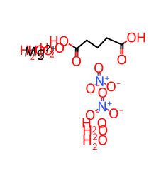 O.O.O.O.O.O.O=C(O)CCCC(=O)O.O=[N+]([O-])[O-].O=[N+]([O-])[O-].[Mg+2]